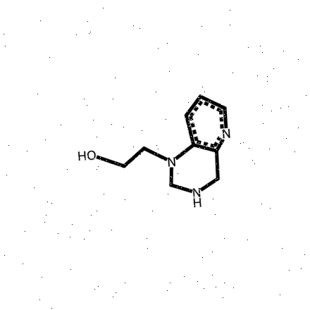 OCCN1CNCc2ncccc21